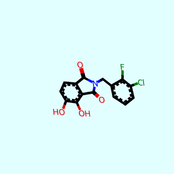 O=C1c2ccc(O)c(O)c2C(=O)N1Cc1cccc(Cl)c1F